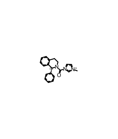 C[n+]1ccn(C(=O)N2CCc3ccccc3[C@@H]2c2ccccc2)c1